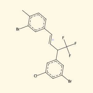 Cc1ccc(/C=C/C(c2cc(Cl)cc(Br)c2)C(F)(F)F)cc1Br